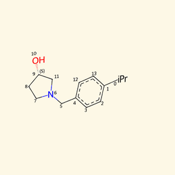 CC(C)c1ccc(CN2CC[C@H](O)C2)cc1